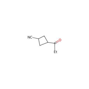 CCC(=O)C1CC(C#N)C1